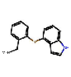 CNCc1ccccc1Sc1cccc2[nH]ccc12